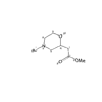 COC(=O)CC1CN(C(C)(C)C)CCO1